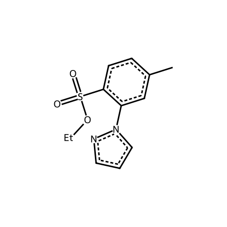 CCOS(=O)(=O)c1ccc(C)cc1-n1cccn1